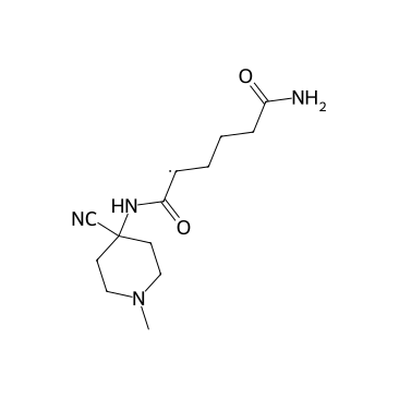 CN1CCC(C#N)(NC(=O)[CH]CCCC(N)=O)CC1